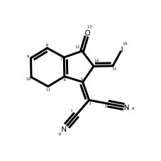 N#CC(C#N)=C1C2=C(C=CCC2)C(=O)/C1=C\I